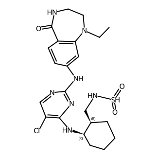 CCN1CCNC(=O)c2ccc(Nc3ncc(Cl)c(N[C@@H]4CCCC[C@@H]4CN[SH](=O)=O)n3)cc21